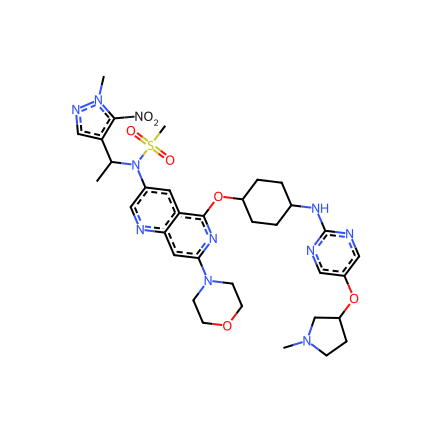 CC(c1cnn(C)c1[N+](=O)[O-])N(c1cnc2cc(N3CCOCC3)nc(OC3CCC(Nc4ncc(OC5CCN(C)C5)cn4)CC3)c2c1)S(C)(=O)=O